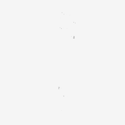 CC(C)(C)OC(=O)NCCSSCCNc1nc(Cl)nc(Cl)n1